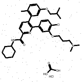 Cc1ccc(OCC(C)C)cc1-c1ccc(C(=O)NC2CCCCC2)nc1-c1ccc(Cl)c(OCCCN(C)C)c1.Cl.O=C(O)O